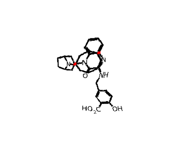 O=C(O)c1cc(CNc2nc3ccccc3n(C3CC4CCC(C3)N4C3CCCCCCC3)c2=O)ccc1O